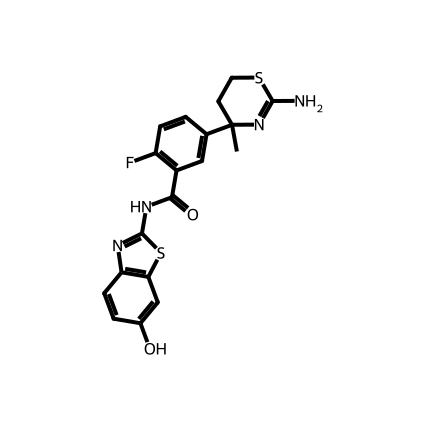 CC1(c2ccc(F)c(C(=O)Nc3nc4ccc(O)cc4s3)c2)CCSC(N)=N1